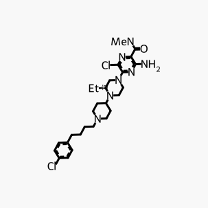 CC[C@H]1CN(c2nc(N)c(C(=O)NC)nc2Cl)CCN1C1CCN(CCCCc2ccc(Cl)cc2)CC1